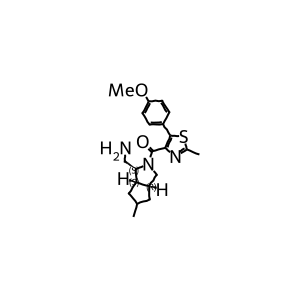 COc1ccc(-c2sc(C)nc2C(=O)N2C[C@@H]3CC(C)C[C@@H]3[C@H]2CN)cc1